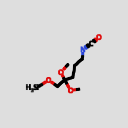 COC(CCCN=C=O)(CO[SiH3])OC